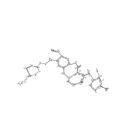 COc1cc2c(cc1OCCN1CCN(C)CC1)Oc1ncnc(Nc3ccc(Br)cc3F)c1NC2